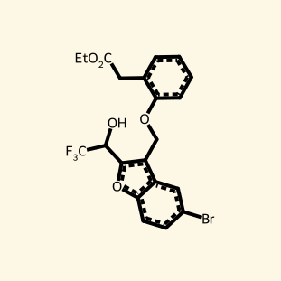 CCOC(=O)Cc1ccccc1OCc1c(C(O)C(F)(F)F)oc2ccc(Br)cc12